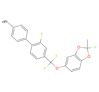 CCCc1ccc(-c2ccc(C(F)(F)Oc3ccc4c(c3)OC(C)(F)O4)cc2F)cc1